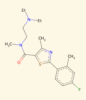 CCN(CC)CCN(C)C(=O)c1sc(-c2ccc(F)cc2C)nc1C